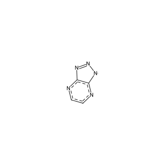 c1cnc2c(n1)[N]N=N2